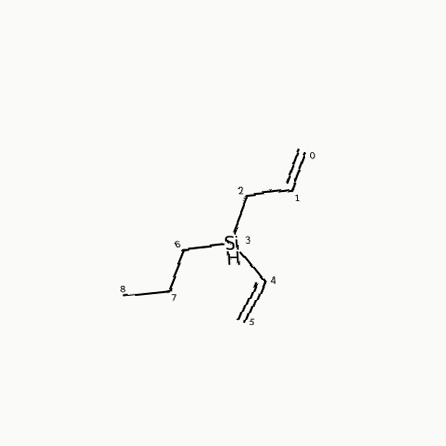 C=CC[SiH](C=C)CCC